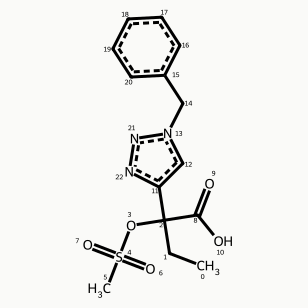 CCC(OS(C)(=O)=O)(C(=O)O)c1cn(Cc2ccccc2)nn1